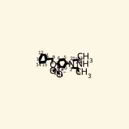 CC1CN(c2ccc(OCc3ccccc3)c([N+](=O)[O-])c2)CC(C)N1